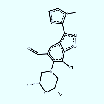 C[C@@H]1CN(c2c(C=O)cc3c(-c4nccn4C)noc3c2Cl)C[C@H](C)O1